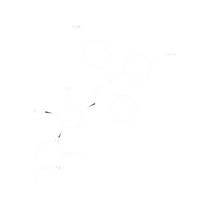 COc1ccc(C(OC[C@H]2O[C@@H](n3ccc(=O)[nH]c3=O)[C@@H](OC(C)=O)[C@@H]2O)(c2ccccc2)c2ccc(OC)cc2)cc1